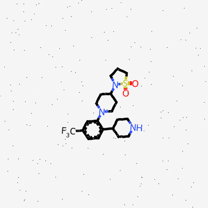 O=S1(=O)CCCN1C1CCN(c2cc(C(F)(F)F)ccc2C2CCNCC2)CC1